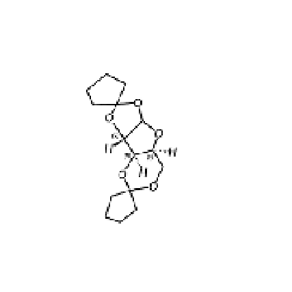 C1CCC2(C1)OC[C@@H]1OC3OC4(CCCC4)O[C@H]3[C@@H]1O2